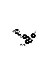 COc1ccc2c(c1)CCN(c1ccc(F)cc1)C2Cc1ccc(OCCC2CNCCO2)cc1